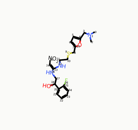 CN(C)Cc1ccc(CSCCNC(=C[N+](=O)[O-])NCC(O)c2ccccc2F)o1